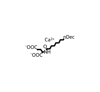 CCCCCCCCCCCCCCCCCC(=O)NC(CCC(=O)[O-])C(=O)[O-].[Ca+2]